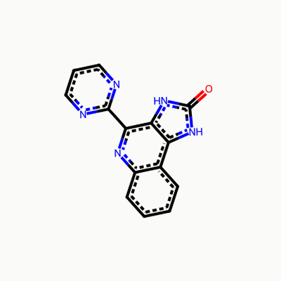 O=c1[nH]c2c(-c3ncccn3)nc3ccccc3c2[nH]1